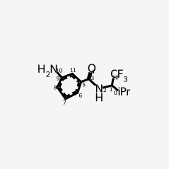 CC(C)C(NC(=O)c1cccc(N)c1)C(F)(F)F